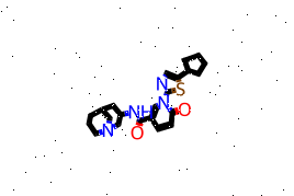 O=C(NC1CC2CCCN(C2)C1)c1ccc(=O)n(-c2ncc(C3CCCC3)s2)c1